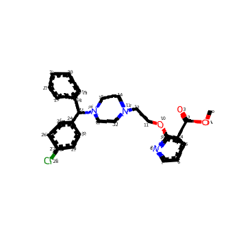 COC(=O)c1cccnc1OCCN1CCN(C(c2ccccc2)c2ccc(Cl)cc2)CC1